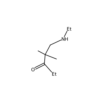 CCNCC(C)(C)C(=O)CC